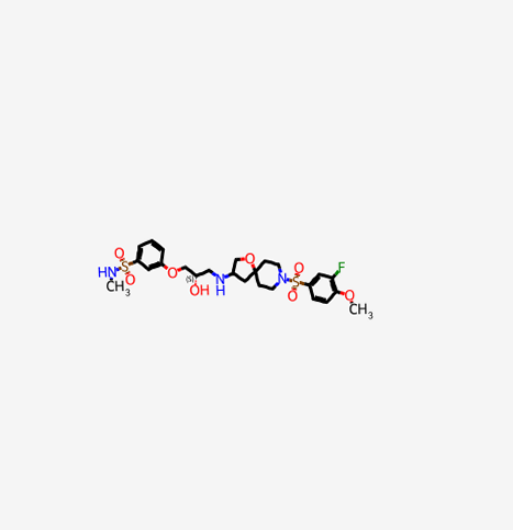 CNS(=O)(=O)c1cccc(OC[C@@H](O)CNC2COC3(CCN(S(=O)(=O)c4ccc(OC)c(F)c4)CC3)C2)c1